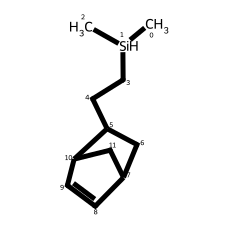 C[SiH](C)CCC1CC2C=CC1C2